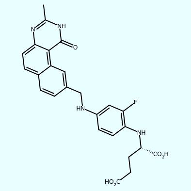 Cc1nc2ccc3ccc(CNc4ccc(N[C@@H](CCC(=O)O)C(=O)O)c(F)c4)cc3c2c(=O)[nH]1